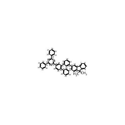 CC1(C)c2ccccc2-c2cc(-c3cccc(-c4cc(-c5nc(-c6ccccc6)nc(-c6ccccc6)n5)ccc4-c4ccccc4)c3)ccc21